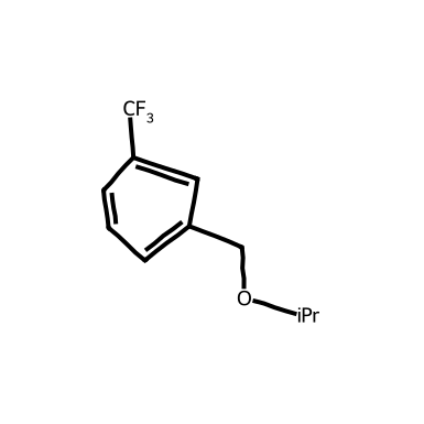 CC(C)OCc1cccc(C(F)(F)F)c1